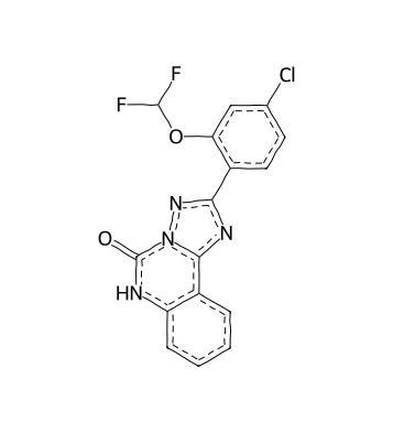 O=c1[nH]c2ccccc2c2nc(-c3ccc(Cl)cc3OC(F)F)nn12